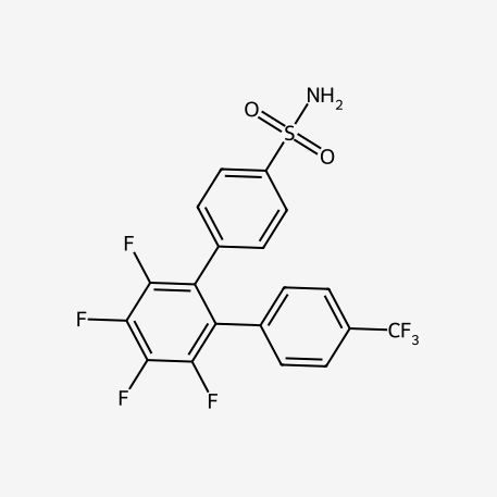 NS(=O)(=O)c1ccc(-c2c(F)c(F)c(F)c(F)c2-c2ccc(C(F)(F)F)cc2)cc1